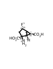 N[C@]1(C(=O)O)C[C@H](F)C2[C@@H](C(=O)O)[C@@H]21